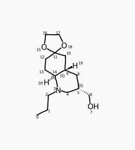 CCCN1C[C@@H](CO)C[C@H]2CC3(CC[C@@H]21)OCCO3